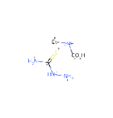 CCNC(=O)O.NNC(N)=S